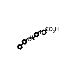 C/C(=N\OCc1ccc(-c2ccccc2)cc1)c1ccc(CN2CCCC(C(=O)O)C2)cc1